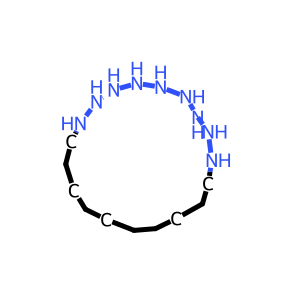 C1CCCCCNNNNNNNNNCCCC1